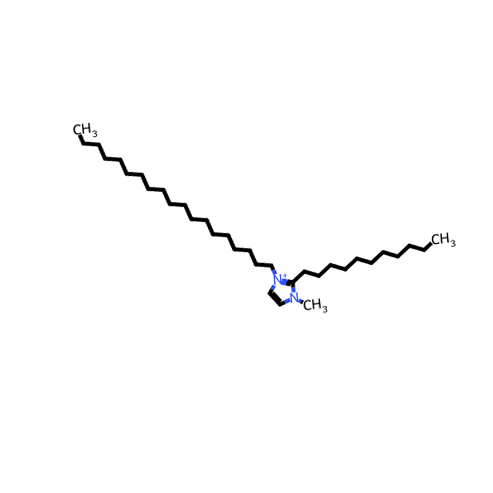 CCCCCCCCCCCCCCCCCCC[n+]1ccn(C)c1CCCCCCCCCCC